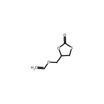 C=COCC1CSC(=O)O1